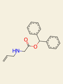 C=CCNCC(=O)OC(c1ccccc1)c1ccccc1